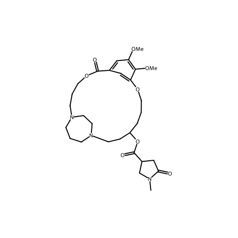 COc1cc2cc(c1OC)OCCCC(OC(=O)C1CC(=O)N(C)C1)CCN1CCCN(CCCOC2=O)CC1